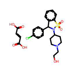 O=C(O)C=CC(=O)O.O=S1(=O)c2ccccc2C(c2ccc(Cl)cc2)N1C1CCN(CCO)CC1